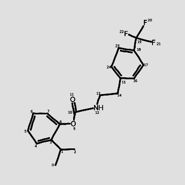 CC(C)c1ccccc1OC(=O)NCCc1ccc(C(F)(F)F)cc1